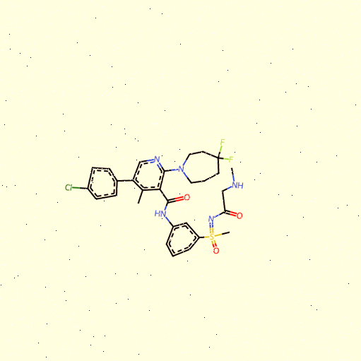 CNCC(=O)N=S(C)(=O)c1cccc(NC(=O)c2c(N3CCCC(F)(F)CC3)ncc(-c3ccc(Cl)cc3)c2C)c1